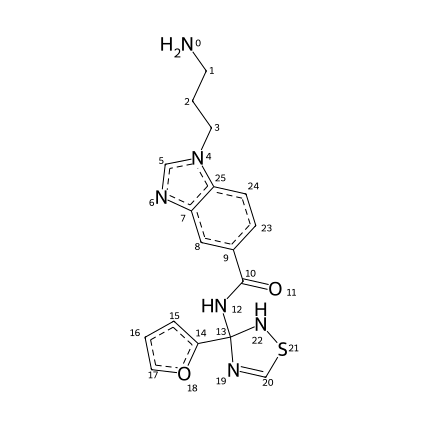 NCCCn1cnc2cc(C(=O)NC3(c4ccco4)N=CSN3)ccc21